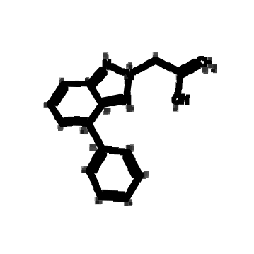 C=C(O)Cn1nc2cccc(-c3ccccc3)c2n1